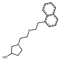 OC1CCN(CCOCCc2cccc3ccccc23)C1